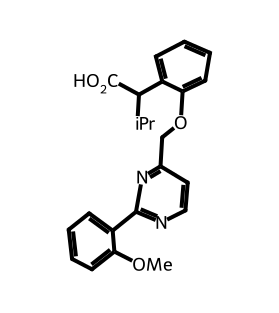 COc1ccccc1-c1nccc(COc2ccccc2C(C(=O)O)C(C)C)n1